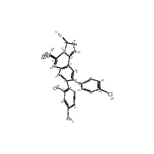 Bc1ccc(-c2nc3nc(C(C)(C)C)n4c(=O)[nH]nc4c3cc2-c2ccc(Cl)cc2)c(Cl)c1